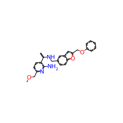 C=C(NCc1ccc2oc(COc3ccccc3)cc2c1)c1ccc(COC)nc1N